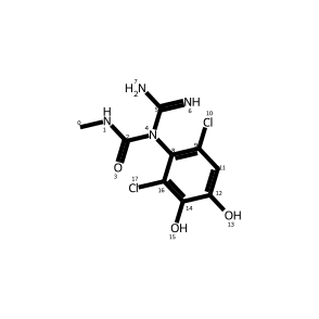 CNC(=O)N(C(=N)N)c1c(Cl)cc(O)c(O)c1Cl